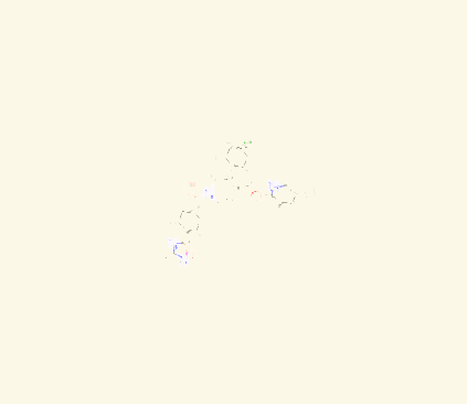 Cc1noc(-c2ccc(C(=O)N3CCC(COc4ccc(Cl)cn4)C(c4ccc(Cl)cc4)C3)cc2)n1